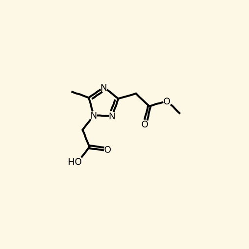 COC(=O)Cc1nc(C)n(CC(=O)O)n1